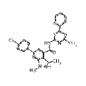 Cc1nc(NC(=O)c2cc(-c3ccc(Cl)cc3)nc3c2C(C)NN3C)nc(-c2ccccn2)n1